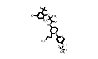 CCCC1CC(NC(=O)C(C)(C)Oc2ccc(Cl)cc2C(F)(F)F)CCN1c1ccc(NS(C)(=O)=O)cn1